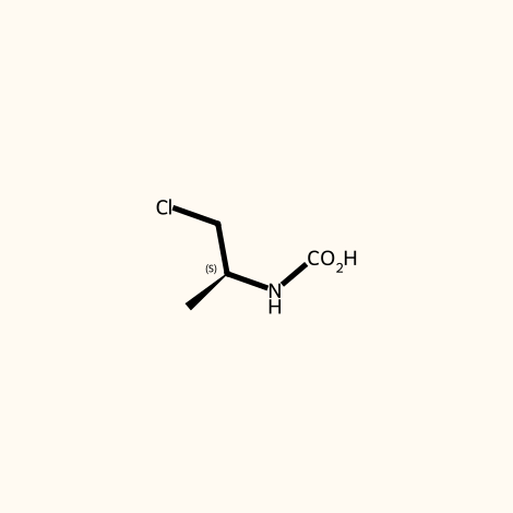 C[C@@H](CCl)NC(=O)O